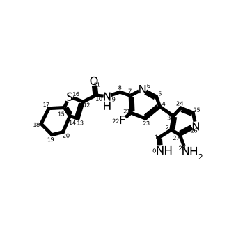 N=Cc1c(-c2cnc(CNC(=O)c3cc4c(s3)CCCC4)c(F)c2)ccnc1N